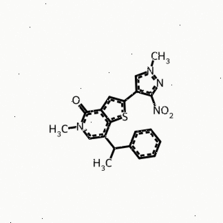 CC(c1ccccc1)c1cn(C)c(=O)c2cc(-c3cn(C)nc3[N+](=O)[O-])sc12